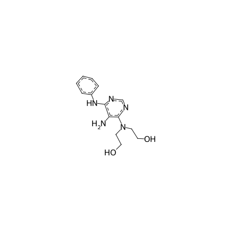 Nc1c(Nc2ccccc2)ncnc1N(CCO)CCO